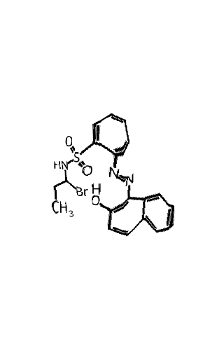 CCC(Br)NS(=O)(=O)c1ccccc1N=Nc1c(O)ccc2ccccc12